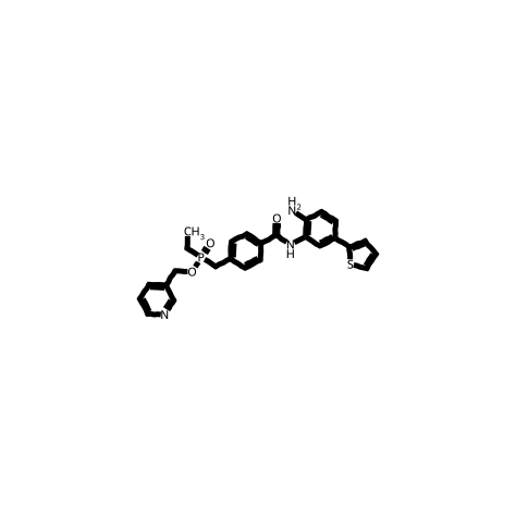 CCP(=O)(Cc1ccc(C(=O)Nc2cc(-c3cccs3)ccc2N)cc1)OCc1cccnc1